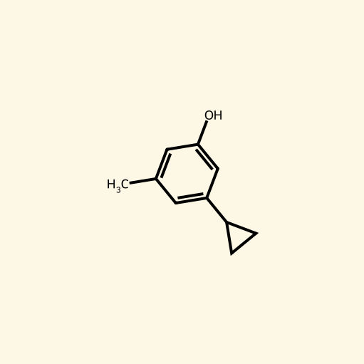 Cc1cc(O)cc(C2CC2)c1